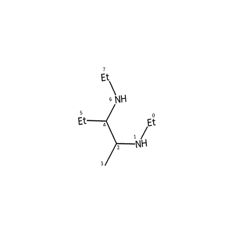 CCNC(C)C(CC)NCC